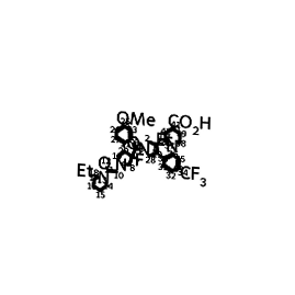 CC[C@H]1CN(C(=O)[C@]2(F)CN(CC(=O)N3CCC[C@@H]3CC)C[C@H]2c2ccc(OC)cc2)C[C@@H]1c1ccc(C(F)(F)F)cc1N1CCC(C(=O)O)CC1